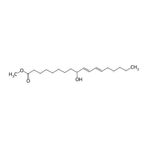 CCCCCC=CC=CC(O)CCCCCCCC(=O)OC